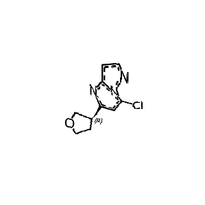 Clc1cc([C@H]2CCOC2)nc2ccnn12